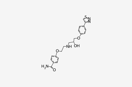 NC(=O)c1ccc(OCCNCC(O)COc2ccc(-c3csnn3)cc2)cc1